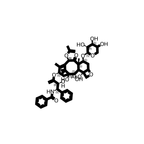 C=C(C)O[C@H]1C(=O)[C@@]2(C)C([C@H](O)[C@]3(O)C[C@H](OC(=C)[C@H](O)[C@@H](NC(=O)c4ccccc4)c4ccccc4)C(C)=C1C3(C)C)[C@]1(OC(C)=O)COC1C[C@@H]2O[C@@H]1OCC(O)[C@H](O)[C@H]1O